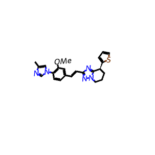 COc1cc(/C=C/c2nc3n(n2)CCC[C@@H]3c2cccs2)ccc1-n1cnc(C)c1